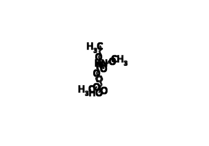 CCCCOCCN(CCOc1ccc(CC(OCC)C(=O)O)cc1)C(=O)NCCOC